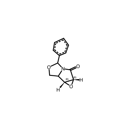 O=C1[C@@H]2O[C@@H]2C2COC(c3ccccc3)N12